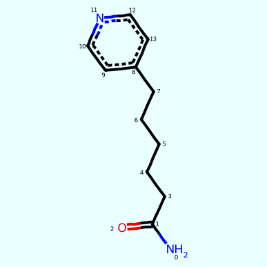 NC(=O)CCCCCc1ccncc1